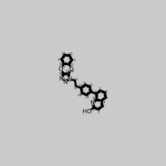 Oc1ccc2cccc(-c3ccc(CCn4nnc5c4Oc4ccccc4O5)cc3)c2n1